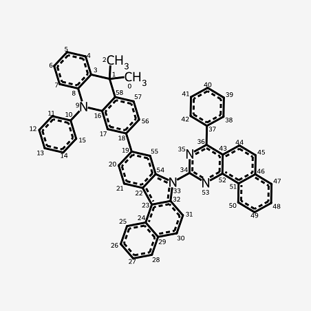 CC1(C)c2ccccc2N(c2ccccc2)c2cc(-c3ccc4c5c6ccccc6ccc5n(-c5nc(-c6ccccc6)c6ccc7ccccc7c6n5)c4c3)ccc21